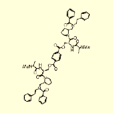 CN[C@@H](C)C(=O)N[C@@H](COC(=O)c1ccc(C(=O)OC[C@H](NC(=O)[C@H](C)NC)C(=O)N2CCC[C@H]2CN(CCc2ccccc2)C(=O)c2ccccc2)cc1)C(=O)N1CCC[C@H]1CN(CCc1ccccc1)C(=O)c1ccccc1